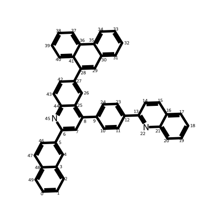 c1ccc2cc(-c3cc(-c4ccc(-c5ccc6ccccc6n5)cc4)c4cc(-c5cc6ccccc6c6ccccc56)ccc4n3)ccc2c1